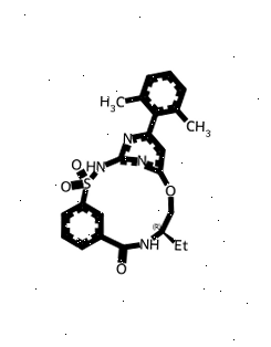 CC[C@@H]1COc2cc(-c3c(C)cccc3C)nc(n2)NS(=O)(=O)c2cccc(c2)C(=O)N1